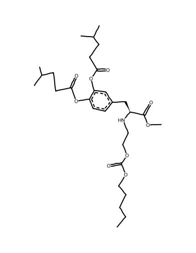 CCCCCOC(=O)OCCN[C@@H](Cc1ccc(OC(=O)CCC(C)C)c(OC(=O)CCC(C)C)c1)C(=O)OC